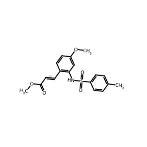 COC(=O)/C=C/c1ccc(OC)cc1NS(=O)(=O)c1ccc(C)cc1